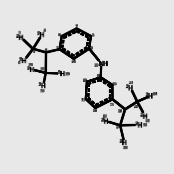 [2H]C([2H])([2H])C(c1cccc(Nc2cccc(C(C([2H])([2H])[2H])C([2H])([2H])[2H])c2)c1)C([2H])([2H])[2H]